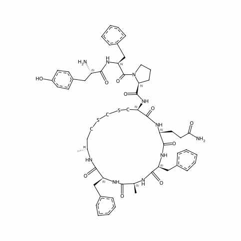 C[C@@H]1CCSCSC[C@@H](NC(=O)[C@@H]2CCCN2C(=O)[C@H](Cc2ccccc2)NC(=O)[C@@H](N)Cc2ccc(O)cc2)C(=O)N[C@@H](CCC(N)=O)C(=O)N[C@@H](Cc2ccccc2)C(=O)N[C@@H](C)C(=O)N[C@@H](Cc2ccccc2)C(=O)N1